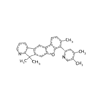 Cc1cnc(-c2c(C)ccc3c2oc2cc4c(cc23)-c2cccnc2C4(C)C)cc1C